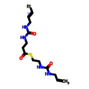 C=CCNC(=O)NCCSC(=O)CCNC(=O)NC/C=C/CC